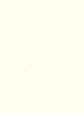 CC(C)(C)c1ccc2c(c1)CSSC2